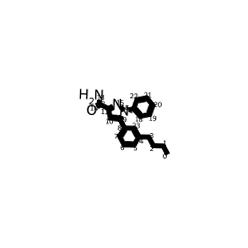 CCCCc1cccc(-c2cc(C(N)=O)nn2-c2ccccc2)c1